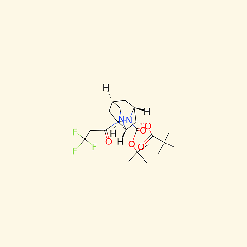 CC(C)(C)OC(=O)N1[C@@H]2C[C@@H]3C[C@@H]1[C@@H]([C@H]2OC(=O)C(C)(C)C)N(C(=O)CC(F)(F)F)C3